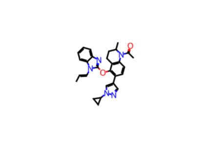 CC=Cn1c(Oc2c(-c3cnn(C4CC4)c3)ccc3c2CCC(C)N3C(C)=O)nc2ccccc21